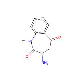 CN1C(=O)C(N)CC(=O)c2ccccc21